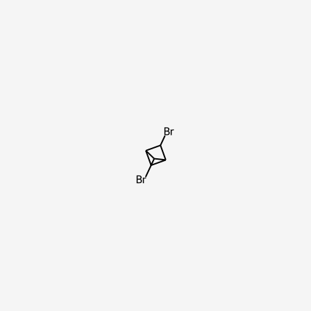 BrC1C2CC1C2Br